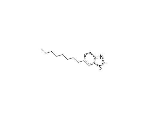 CCCCCCCCc1ccc2n[c]sc2c1